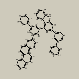 c1ccc(-c2cccc(-c3cc(-c4nc(-c5ccccc5)nc(-c5ccc6c(ccc7c8ccccc8ccc67)c5)n4)c4c(c3)oc3ccccc34)c2)cc1